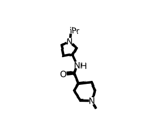 CC(C)N1CCC(NC(=O)C2CCN(C)CC2)C1